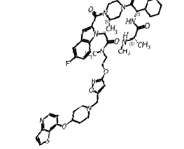 CN[C@@H](C)C(=O)N[C@H](C(=O)N1CCN(C(=O)c2cc3cc(F)ccc3n2CC(=O)N(C)CCOc2cc(CN3CCC(Oc4ccnc5ccsc45)CC3)on2)[C@@H](C)C1)C1CCCCC1